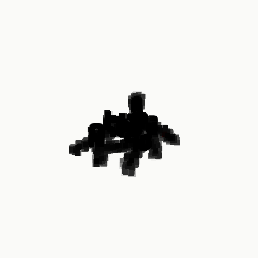 CCCCCCCN(CCCCCCC)C(=O)CCCC(=O)OCC(COC(=O)CCCC(=O)N(CCCCCCC)CCCCCCC)(COC(=O)CCCC(=O)N(CCCCCCC)CCCCCCC)NC(=O)CCN1CCCCC1